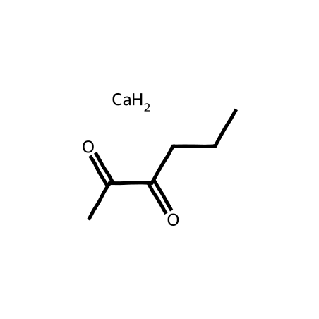 CCCC(=O)C(C)=O.[CaH2]